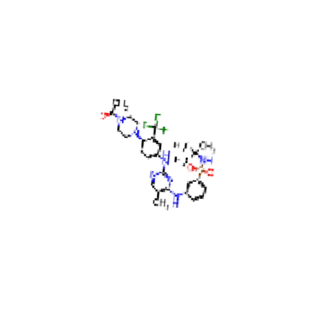 CC(=O)N1CCN(C2CC=C(Nc3ncc(C)c(Nc4cccc(S(=O)(=O)NC(C)(C)C)c4)n3)C=C2C(F)(F)F)CC1